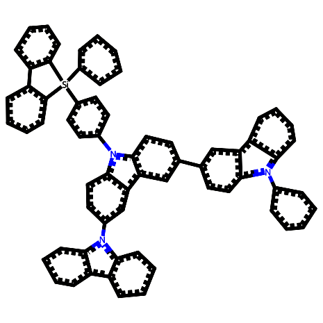 c1ccc(-n2c3ccccc3c3cc(-c4ccc5c(c4)c4cc(-n6c7ccccc7c7ccccc76)ccc4n5-c4ccc([Si]5(c6ccccc6)c6ccccc6-c6ccccc65)cc4)ccc32)cc1